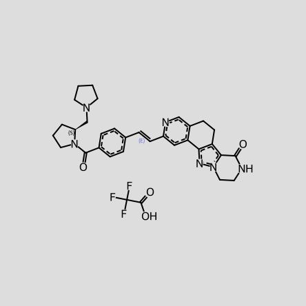 O=C(O)C(F)(F)F.O=C1NCCn2nc3c(c21)CCc1cnc(/C=C/c2ccc(C(=O)N4CCC[C@H]4CN4CCCC4)cc2)cc1-3